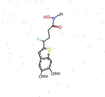 COc1cc2cc(C(F)CCC(=O)N(O)C(C)C)sc2cc1OC